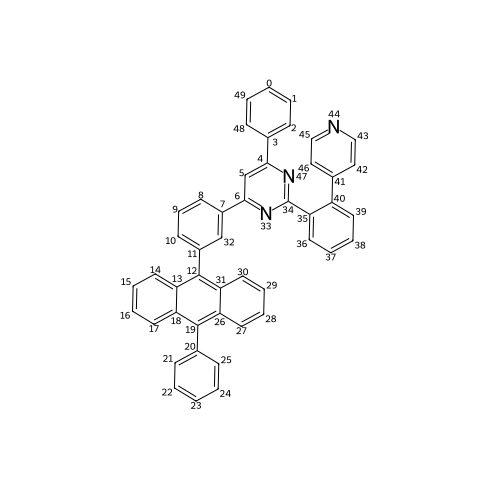 c1ccc(-c2cc(-c3cccc(-c4c5ccccc5c(-c5ccccc5)c5ccccc45)c3)nc(-c3ccccc3-c3ccncc3)n2)cc1